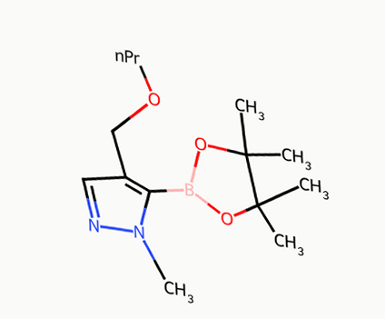 CCCOCc1cnn(C)c1B1OC(C)(C)C(C)(C)O1